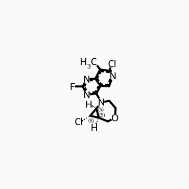 Cc1c(Cl)ncc2c(N3CCOC[C@H]4[C@H](Cl)[C@H]43)nc(F)nc12